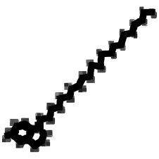 CCCCCCCCCCCCCCCCCCCCCCN1CCCc2cc(C)ccc21